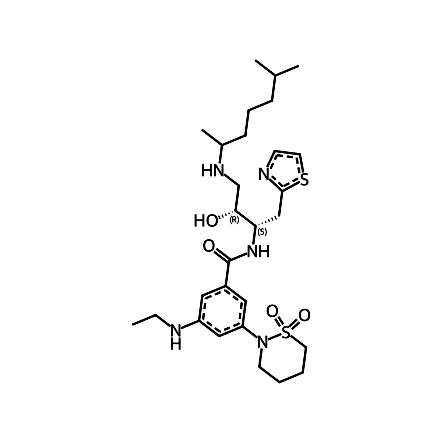 CCNc1cc(C(=O)N[C@@H](Cc2nccs2)[C@H](O)CNC(C)CCCC(C)C)cc(N2CCCCS2(=O)=O)c1